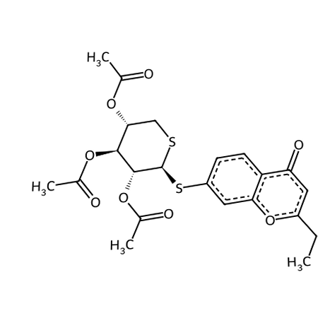 CCc1cc(=O)c2ccc(S[C@@H]3SC[C@@H](OC(C)=O)[C@H](OC(C)=O)[C@H]3OC(C)=O)cc2o1